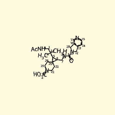 CC(=O)NCC(C)(C)C1C(CNC(=O)N2Cc3ccncc3C2)C12CCN(C(=O)O)CC2